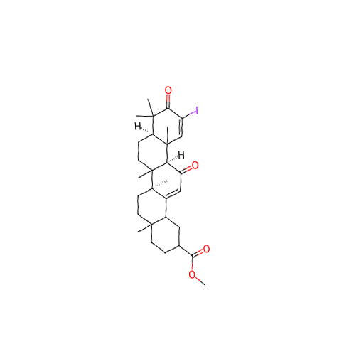 COC(=O)C1CCC2(C)CC[C@]3(C)C(=CC(=O)[C@@H]4C5(C)C=C(I)C(=O)C(C)(C)[C@@H]5CCC43C)C2C1